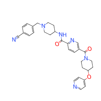 N#Cc1ccc(CN2CCC(NC(=O)c3ccc(C(=O)N4CCC(Oc5ccncc5)CC4)cn3)CC2)cc1